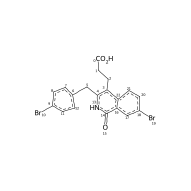 O=C(O)CCc1c(Cc2ccc(Br)cc2)[nH]c(=O)c2cc(Br)ccc12